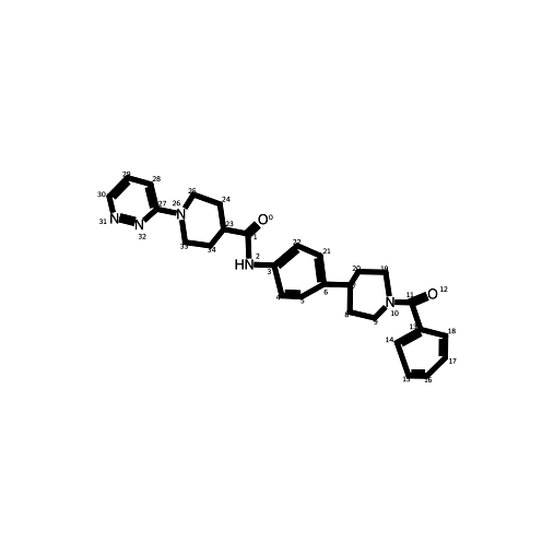 O=C(Nc1ccc(C2CCN(C(=O)c3ccccc3)CC2)cc1)C1CCN(c2cccnn2)CC1